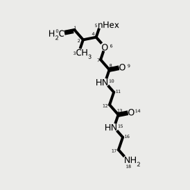 C=CC(C)C(CCCCCC)OCC(=O)NCCC(=O)NCCN